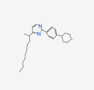 CCCCCCCCC(C)c1ccnc(-c2ccc(C3CC[CH]CC3)cc2)n1